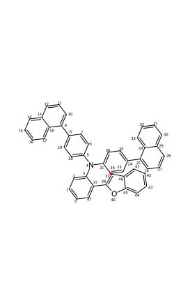 c1ccc(N(c2ccc(-c3cccc4ccccc34)cc2)c2ccc(-c3cccc4ccccc34)cc2)c(-c2cc3ccccc3o2)c1